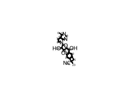 Cc1ncnc2c1ccn2[C@@H]1O[C@H]([C@H](O)c2ccc3c(c2)CC3(C)C#N)[C@@H](O)[C@H]1O